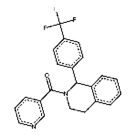 O=C(c1cccnc1)N1CCc2ccccc2C1c1ccc(C(F)(F)F)cc1